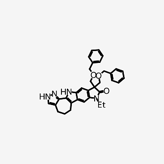 CCN1C(=O)C(COCc2ccccc2)(COCc2ccccc2)c2cc3[nH]c4c(c3cc21)CCCc1c[nH]nc1-4